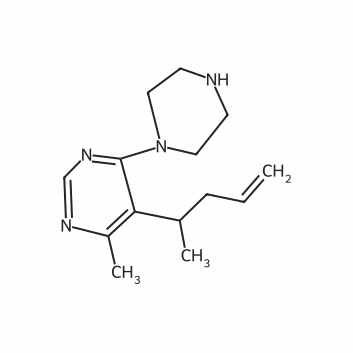 C=CCC(C)c1c(C)ncnc1N1CCNCC1